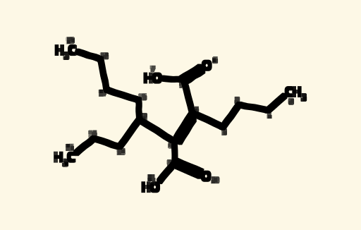 CCCCC(C(=O)O)=C(C(=O)O)C(CCC)CCCC